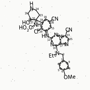 CCN(Cc1ccc(OC)cc1)c1nc(Nc2cc(C#N)cc([C@]3(NC(=O)O)CCNC[C@H]3O)c2Cl)nn2c(C#N)cnc12